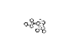 c1ccc(C2=c3ccccc3=NC(c3cccc4oc5cc(-n6c7ccccc7c7c(-c8ccccc8)cccc76)ccc5c34)N2)cc1